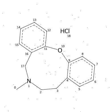 CN1CCc2ccccc2Oc2ccccc2C1.Cl